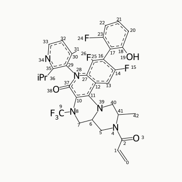 C=CC(=O)N1CC2CN(C(F)(F)F)c3c(c4cc(F)c(-c5c(O)cccc5F)c(F)c4n(-c4c(C)ccnc4C(C)C)c3=O)N2CC1C